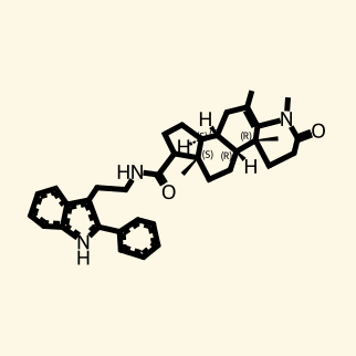 CC1=C2N(C)C(=O)CC[C@]2(C)[C@@H]2CC[C@]3(C)C(C(=O)NCCc4c(-c5ccccc5)[nH]c5ccccc45)CC[C@H]3[C@@H]2C1